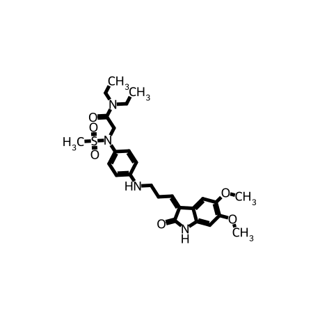 CCN(CC)C(=O)CN(c1ccc(NCCC=C2C(=O)Nc3cc(OC)c(OC)cc32)cc1)S(C)(=O)=O